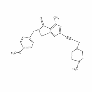 Cc1cc(C#CCN2CCN(C)CC2)cc2c1C(=O)N(Cc1ccc(OC(F)(F)F)cc1)C2